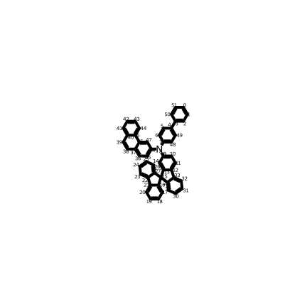 c1ccc(-c2ccc(N(c3ccc4c(c3)C3(c5ccccc5-c5ccccc53)c3ccccc3-4)c3ccc4ccc5ccccc5c4c3)cc2)cc1